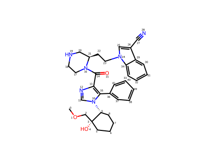 COC[C@]1(O)CCCC[C@H]1n1cnc(C(=O)N2CCNC[C@H]2CCn2cc(C#N)c3ccccc32)c1-c1ccccc1